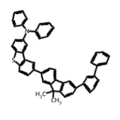 CC1(C)c2ccc(-c3cccc(-c4ccccc4)c3)cc2-c2ccc(-c3ccc4sc5ccc(N(c6ccccc6)c6ccccc6)cc5c4c3)cc21